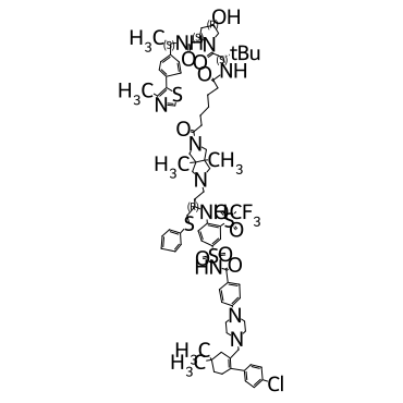 Cc1ncsc1-c1ccc([C@H](C)NC(=O)[C@@H]2C[C@@H](O)CN2C(=O)[C@@H](NC(=O)CCCCCC(=O)N2CC3(C)CN(CC[C@H](CSc4ccccc4)Nc4ccc(S(=O)(=O)NC(=O)c5ccc(N6CCN(CC7=C(c8ccc(Cl)cc8)CCC(C)(C)C7)CC6)cc5)cc4S(=O)(=O)C(F)(F)F)CC3(C)C2)C(C)(C)C)cc1